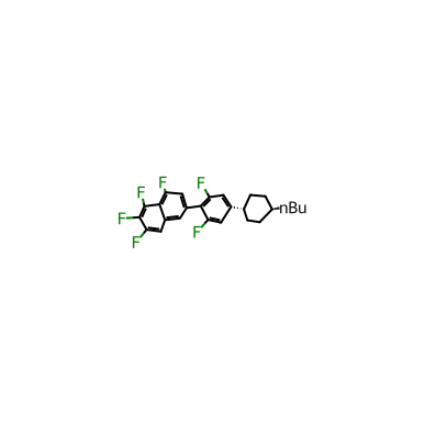 CCCC[C@H]1CC[C@H](c2cc(F)c(-c3cc(F)c4c(F)c(F)c(F)cc4c3)c(F)c2)CC1